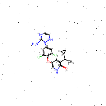 CC(c1cc(Oc2c(Cl)cc(N3NC=CN=C3N)cc2Cl)c[nH]c1=O)C1CC1